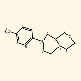 Cc1ccc(N2CCN3CCCCC3C2)cc1